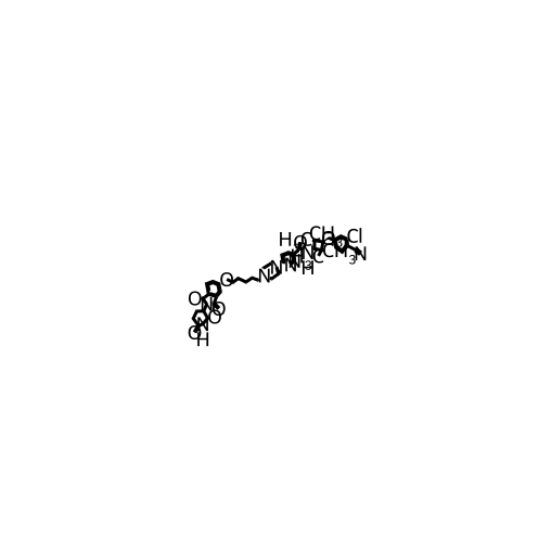 CC1(C)[C@H](NC(=O)c2ccc(N3CCN(CCCCCOc4ccc5c(c4)C(=O)N(C4CCC(=O)NC4=O)C5=O)CC3)nn2)C(C)(C)[C@H]1Oc1ccc(C#N)c(Cl)c1